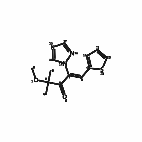 COC(C)(C)C(=O)C(=Cc1cccs1)n1cncn1